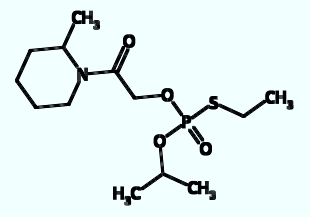 CCSP(=O)(OCC(=O)N1CCCCC1C)OC(C)C